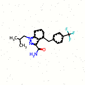 CC(C)Cn1nc(C(N)=O)c2c(Cc3ccc(C(F)(F)F)cc3)cccc21